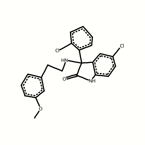 COc1cccc(CCNC2(c3ccccc3Cl)C(=O)Nc3ccc(Cl)cc32)c1